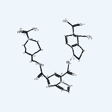 Cc1c(C(=O)O)ccc2c1CC[C@@H]2NC(=O)c1cc(C(=O)NCC2CCN(C(=N)N)CC2)nc2ccnn12